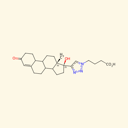 C[C@]12CCC3C4CCC(=O)C=C4CCC3C1CC[C@@]2(O)c1cn(CCCC(=O)O)nn1